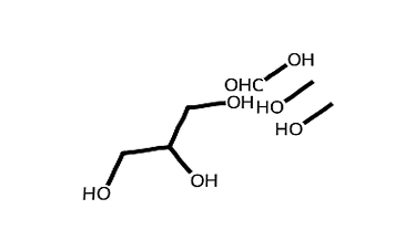 CO.CO.O=CO.OCC(O)CO